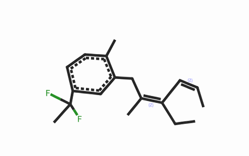 C/C=C\C(CC)=C(\C)Cc1cc(C(C)(F)F)ccc1C